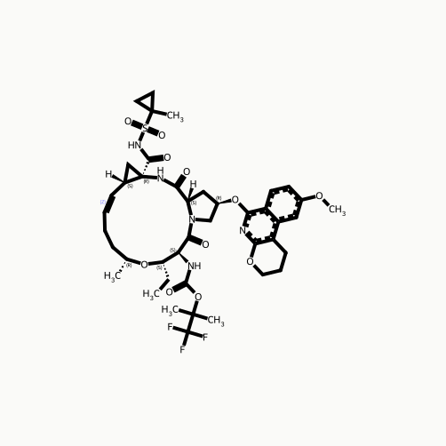 CC[C@@H]1O[C@H](C)CC/C=C\[C@@H]2C[C@@]2(C(=O)NS(=O)(=O)C2(C)CC2)NC(=O)[C@@H]2C[C@@H](Oc3nc4c(c5cc(OC)ccc35)CCCO4)CN2C(=O)[C@H]1NC(=O)OC(C)(C)C(F)(F)F